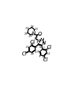 O=C(Cn1nnc(-c2ccc(Cl)cc2Cl)c1-c1ccc(Cl)cc1Cl)N1CCCCC1